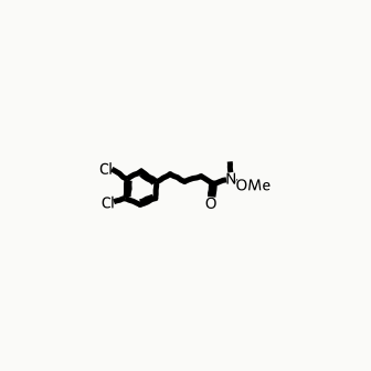 CON(C)C(=O)CCCc1ccc(Cl)c(Cl)c1